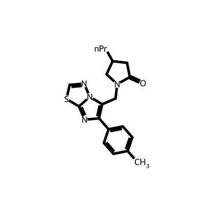 CCCC1CC(=O)N(Cc2c(-c3ccc(C)cc3)nc3scnn23)C1